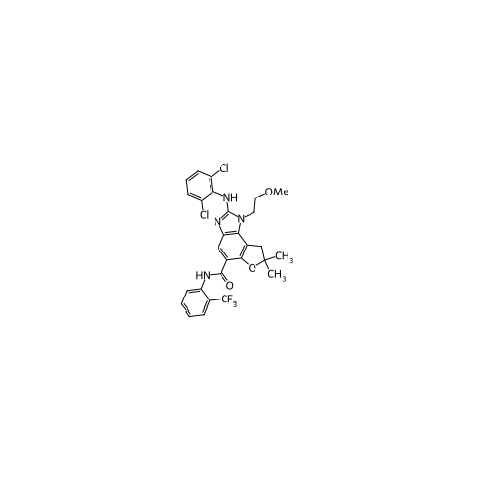 COCCn1c(Nc2c(Cl)cccc2Cl)nc2cc(C(=O)Nc3ccccc3C(F)(F)F)c3c(c21)CC(C)(C)O3